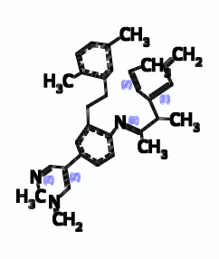 C=C/C=C(\C=C/C)C(C)/C(C)=N/c1ccc(C(/C=N\C)=C/N=C)cc1CCc1cc(C)ccc1C